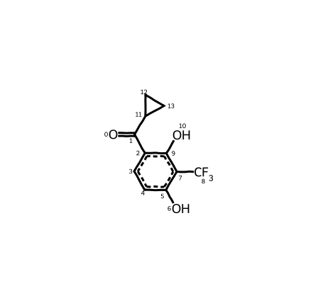 O=C(c1ccc(O)c(C(F)(F)F)c1O)C1CC1